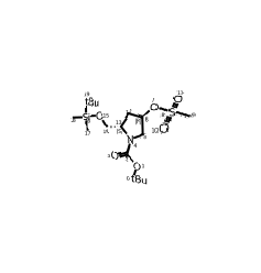 CC(C)(C)OC(=O)N1C[C@H](OS(C)(=O)=O)C[C@H]1CO[Si](C)(C)C(C)(C)C